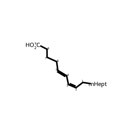 CCCCCCCC/C=C\C=C\CCCC(=O)O